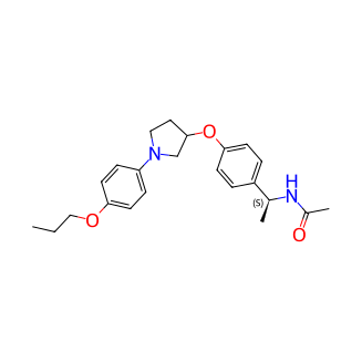 CCCOc1ccc(N2CCC(Oc3ccc([C@H](C)NC(C)=O)cc3)C2)cc1